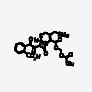 CSCC1=C(C(=O)OCOC(=O)C(C)(C)C)N2C(=O)C(NC(=O)c3ccccc3C(=O)O)[C@@H]2SC1